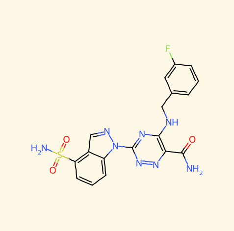 NC(=O)c1nnc(-n2ncc3c(S(N)(=O)=O)cccc32)nc1NCc1cccc(F)c1